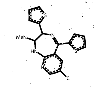 CNC1Nc2ncc(Cl)cc2C(c2cccs2)=NC1c1cccs1